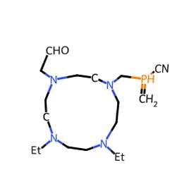 C=[PH](C#N)CN1CCN(CC)CCN(CC)CCN(CC=O)CC1